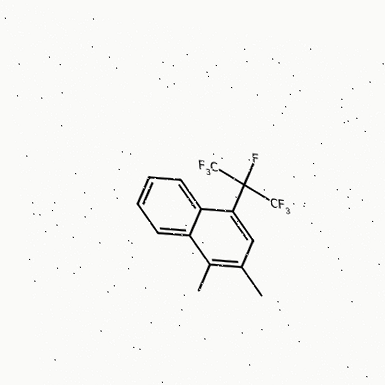 Cc1cc(C(F)(C(F)(F)F)C(F)(F)F)c2ccccc2c1C